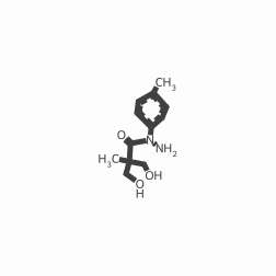 Cc1ccc(N(N)C(=O)C(C)(CO)CO)cc1